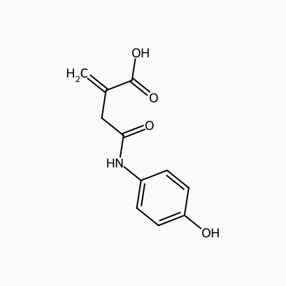 C=C(CC(=O)Nc1ccc(O)cc1)C(=O)O